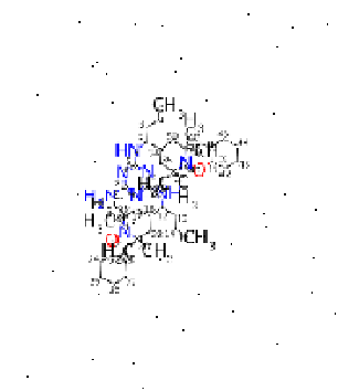 CCCC(Nc1nc(N)nc(NC(CCC)C2CC(C)(C)N(OC3CCCCC3)C(C)(C)C2)n1)C1CC(C)(C)N(OC2CCCCC2)C(C)(C)C1